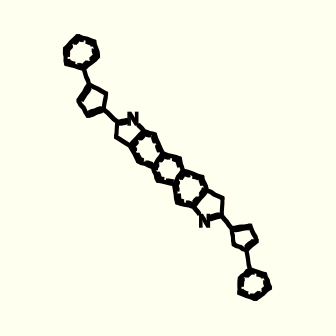 C1=C(C2=Nc3cc4cc5cc6c(cc5cc4cc3C2)N=C(C2=CC=C(c3ccccc3)C2)C6)CC(c2ccccc2)=C1